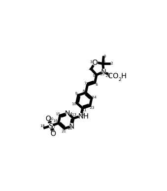 CC1(C)OCC(C=Cc2ccc(Nc3ncc(S(C)(=O)=O)cn3)cc2)N1C(=O)O